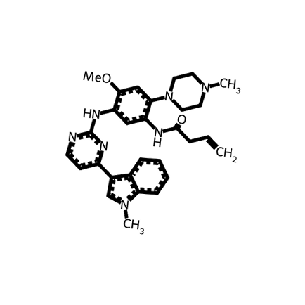 C=CCC(=O)Nc1cc(Nc2nccc(-c3cn(C)c4ccccc34)n2)c(OC)cc1N1CCN(C)CC1